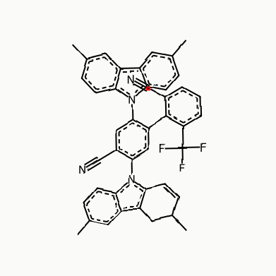 Cc1ccc2c(c1)c1c(n2-c2cc(-c3c(C#N)cccc3C(F)(F)F)c(-n3c4ccc(C)cc4c4cc(C)ccc43)cc2C#N)C=CC(C)C1